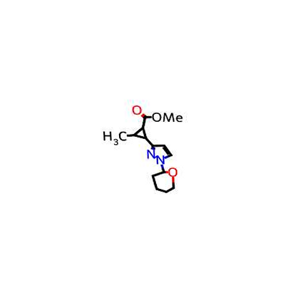 COC(=O)C1C(C)C1c1ccn(C2CCCCO2)n1